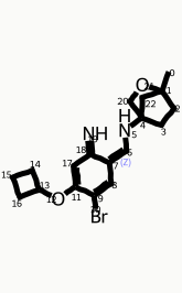 CC12CCC(N/C=C3/C=C(Br)C(OC4CCC4)=CC3=N)(CO1)C2